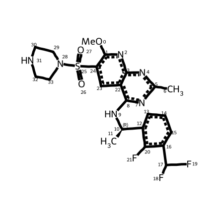 COc1nc2nc(C)nc(N[C@H](C)c3cccc(C(F)F)c3F)c2cc1S(=O)(=O)N1CCNCC1